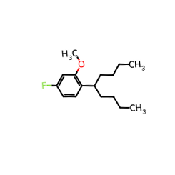 CCCCC(CCCC)c1ccc(F)cc1OC